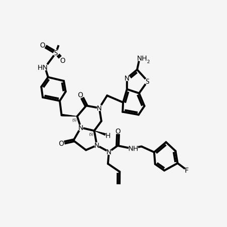 C=CCN(C(=O)NCc1ccc(F)cc1)N1CC(=O)N2[C@@H](Cc3ccc(NS(C)(=O)=O)cc3)C(=O)N(Cc3cccc4sc(N)nc34)C[C@@H]21